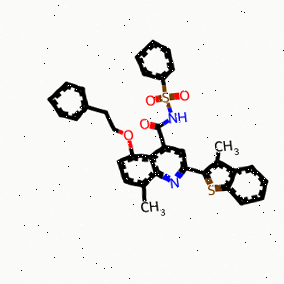 Cc1c(-c2cc(C(=O)NS(=O)(=O)c3ccccc3)c3c(OCCc4ccccc4)ccc(C)c3n2)sc2ccccc12